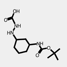 CC(C)(C)OC(=O)NC1CCCC(NNC(=O)O)C1